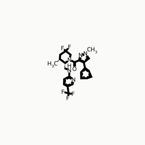 C[C@@H]1CC(F)(F)CN(C(=O)c2nn(C)cc2-c2ccccc2)[C@@H]1CNc1ccc(C(F)(F)F)cn1